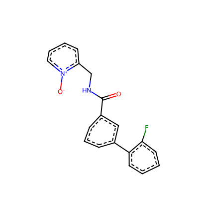 O=C(NCc1cccc[n+]1[O-])c1cccc(-c2ccccc2F)c1